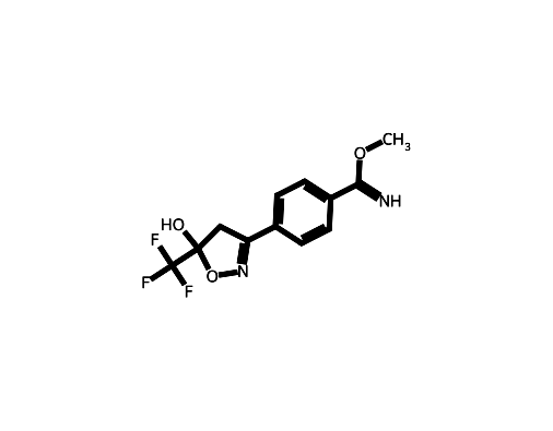 COC(=N)c1ccc(C2=NOC(O)(C(F)(F)F)C2)cc1